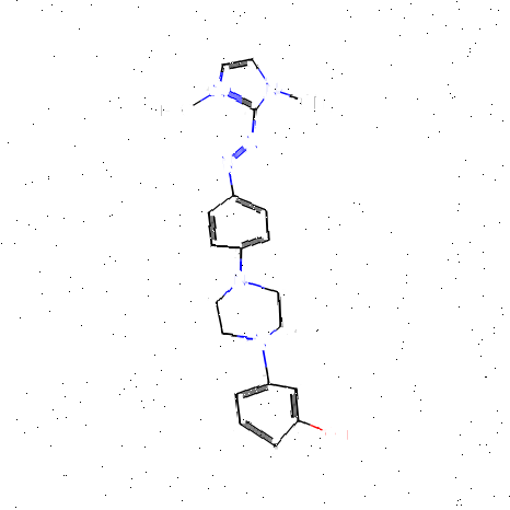 Cn1cc[n+](C)c1/N=N/c1ccc(N2CCN(c3cccc(O)c3)CC2)cc1